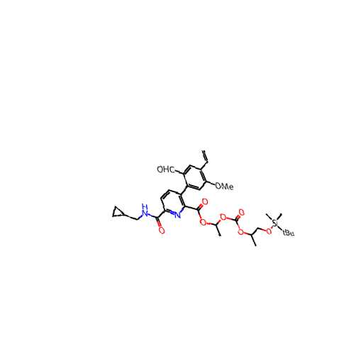 C=Cc1cc(C=O)c(-c2ccc(C(=O)NCC3CC3)nc2C(=O)OC(C)OC(=O)OC(C)CO[Si](C)(C)C(C)(C)C)cc1OC